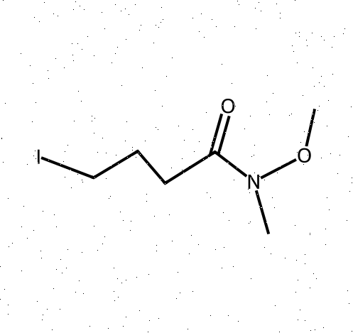 CON(C)C(=O)CCCI